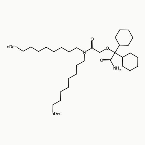 CCCCCCCCCCCCCCCCCCN(CCCCCCCCCCCCCCCCCC)C(=O)COC(C(N)=O)(C1CCCCC1)C1CCCCC1